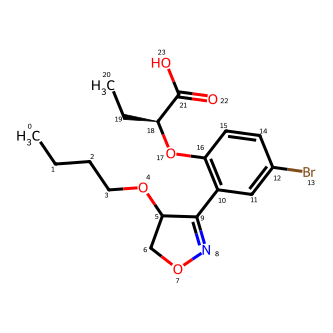 CCCCOC1CON=C1c1cc(Br)ccc1O[C@@H](CC)C(=O)O